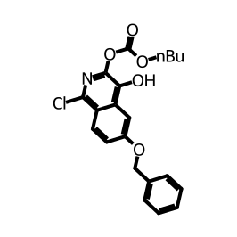 CCCCOC(=O)Oc1nc(Cl)c2ccc(OCc3ccccc3)cc2c1O